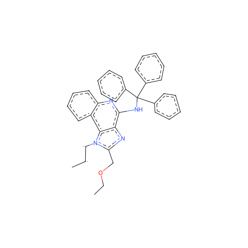 C[CH][CH]n1c(COCC)nc2c(NC(c3ccccc3)(c3ccccc3)c3ccccc3)nc3ccccc3c21